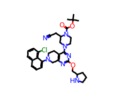 CC(C)(C)OC(=O)N1CCN(c2nc(OCC3CCCN3)nc3c2CCN(c2cccc4cccc(Cl)c24)C3)CC1CC#N